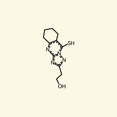 OCCc1nc2nc3c(c(S)n2n1)CCCC3